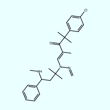 C=NN(/C=C(\C)C(=O)C(C)(C)c1ccc(Cl)cc1)C(C)(C)CC(NC)c1ccccc1